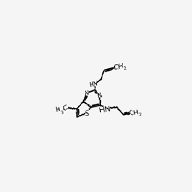 C=CCNc1nc(NCC=C)c2scc(C)c2n1